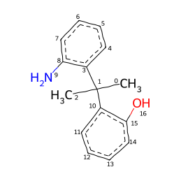 CC(C)(c1ccccc1N)c1ccccc1O